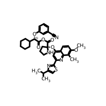 COc1ccc2c(O[C@@]3(C(=O)OC(=O)[C@@H](Oc4cccc(C#N)c4)C4CCCCC4)CCCN3)cc(-c3nc(C(C)C)cs3)nc2c1C